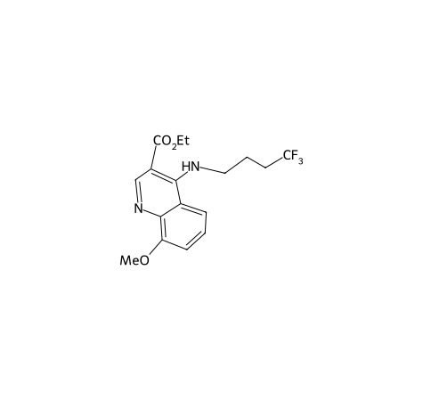 CCOC(=O)c1cnc2c(OC)cccc2c1NCCCC(F)(F)F